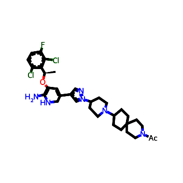 CC(=O)N1CCC2(CCC(N3CCC(n4cc(C5=CC(O[C@H](C)c6c(Cl)ccc(F)c6Cl)=C(N)NC5)cn4)CC3)CC2)CC1